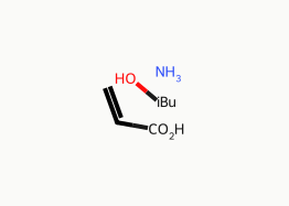 C=CC(=O)O.CCC(C)O.N